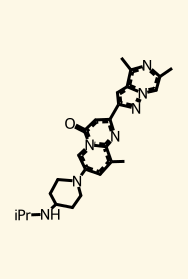 Cc1cn2nc(-c3cc(=O)n4cc(N5CCC(NC(C)C)CC5)cc(C)c4n3)cc2c(C)n1